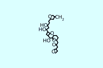 C=C1COC(CCC(O)CC(O)C2CC3C(O)C4OC(CC(=O)CC5CCOC5)CCC4OC23)C1